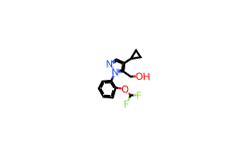 OCc1c(C2CC2)cnn1-c1ccccc1OC(F)F